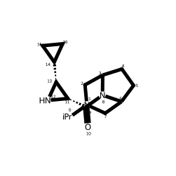 CC(C)N1CC2CCC(C1)N2C(=O)[C@@H]1N[C@@H]1C1CC1